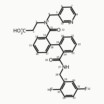 O=C(O)CCN(Cc1cccnc1)C(=O)c1ccccc1-c1ccccc1C(=O)NCc1cc(F)ccc1F